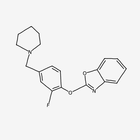 Fc1cc(CN2CCCCC2)ccc1Oc1nc2ccccc2o1